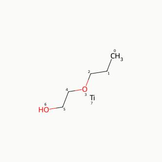 CCCOCCO.[Ti]